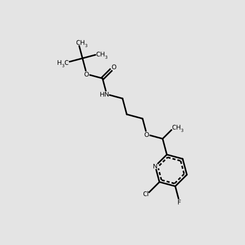 CC(OCCCNC(=O)OC(C)(C)C)c1ccc(F)c(Cl)n1